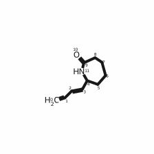 C=CC=CC1CCCCC(=O)N1